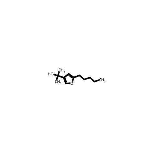 CCCCCc1cc(C(C)(C)O)co1